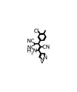 Cc1ccc(C(/C(C#N)=C(\N)c2cnn(C)c2)C(C#N)C#N)cc1Cl